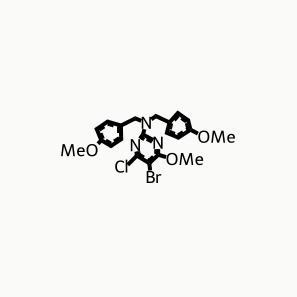 COc1ccc(CN(Cc2ccc(OC)cc2)c2nc(Cl)c(Br)c(OC)n2)cc1